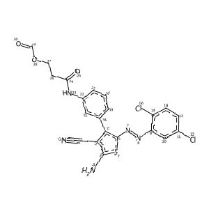 N#Cc1c(N)sc(N=Nc2cc(Cl)ccc2Cl)c1-c1cccc(NC(=O)CCOC=O)c1